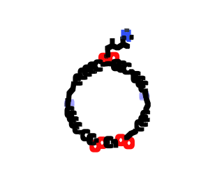 CC(CC(=O)OC1CCCCCCCC/C=C\CCCCCCCC(=O)OCC(C)OC(=O)CCCCCCC/C=C\CCCCCCCC1)CC(C)CN(C)C